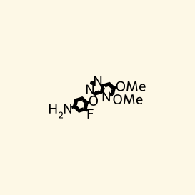 COc1cc2ncnc(Oc3ccc(N)cc3F)c2nc1OC